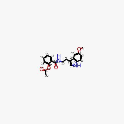 COc1ccc2[nH]cc(CCNC(=O)c3ccccc3OC(C)=O)c2c1